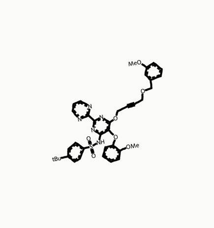 COc1cccc(COCC#CCOc2nc(-c3ncccn3)nc(NS(=O)(=O)c3ccc(C(C)(C)C)cc3)c2Oc2ccccc2OC)c1